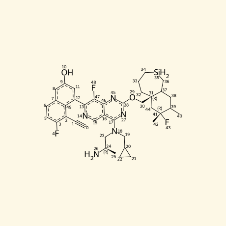 C#Cc1c(F)ccc2cc(O)cc(-c3ncc4c(N(CC5CC5)C[C@@H](C)N)nc(OC[C@@]56CCC[SiH2]CC5CC(C)[C@](C)(F)C6)nc4c3F)c12